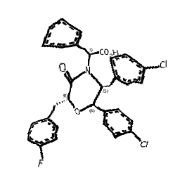 O=C(O)[C@H](c1ccccc1)N1C(=O)[C@@H](Cc2ccc(F)cc2)O[C@H](c2ccc(Cl)cc2)[C@@H]1c1ccc(Cl)cc1